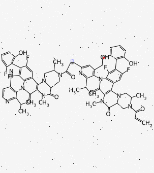 C=CC(=O)N1CC2C(=O)N(C)c3c(c4cc(F)c(-c5c(O)cccc5F)c(F)c4n(-c4c(CO)cc(/C=C\C(=O)N5CC6C(=O)N(C)c7c(c8cc(F)c(-c9c(O)cccc9F)c(F)c8n(-c8c(C#N)ccnc8C(C)C)c7=O)N6CC5C)nc4C(C)C)c3=O)N2CC1C